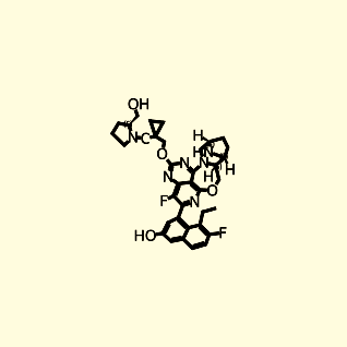 CCc1c(F)ccc2cc(O)cc(-c3nc4c5c(nc(OCC6(CN7CCC[C@H]7CO)CC6)nc5c3F)N3C[C@@H]5CC[C@@H](N5)[C@H]3CO4)c12